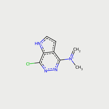 C=[N+](C)c1nnc(Cl)c2[nH]ccc12